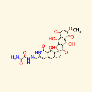 COC1=CC(=O)c2c(O)c3c(c(O)c2C1=O)C(=O)[C@]1(CCc2c1c(O)c1c(=O)[nH]c(C=NNC(=O)C(N)=O)cc1c2I)C3=O